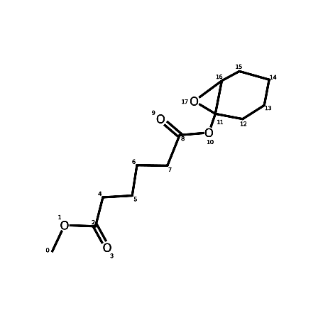 COC(=O)CCCCC(=O)OC12CCCCC1O2